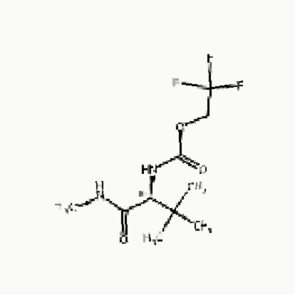 CNC(=O)[C@@H](NC(=O)OCC(F)(F)F)C(C)(C)C